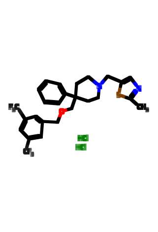 Cc1ncc(CN2CCC(COCc3cc(C(F)(F)F)cc(C(F)(F)F)c3)(c3ccccc3)CC2)s1.Cl.Cl